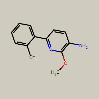 COc1nc(-c2ccccc2C)ccc1N